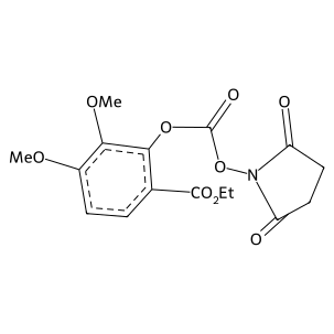 CCOC(=O)c1ccc(OC)c(OC)c1OC(=O)ON1C(=O)CCC1=O